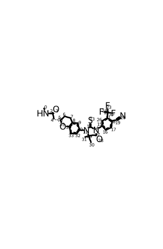 CNC(=O)C[C@@H]1CCc2cc(N3C(=S)N(c4ccc(C#N)c(C(F)(F)F)c4)C(=O)C3(C)C)ccc2O1